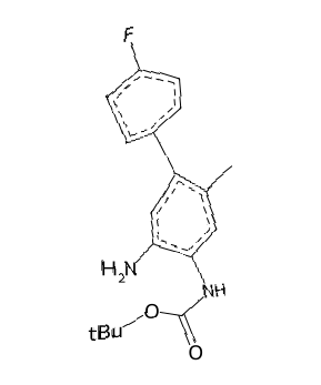 Cc1cc(NC(=O)OC(C)(C)C)c(N)cc1-c1ccc(F)cc1